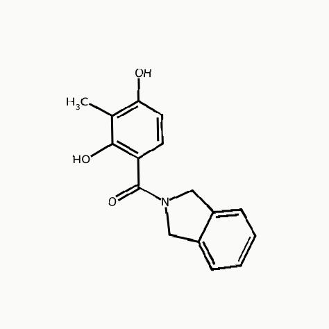 Cc1c(O)ccc(C(=O)N2Cc3ccccc3C2)c1O